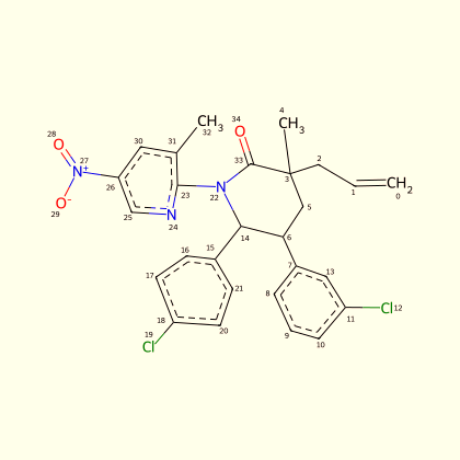 C=CCC1(C)CC(c2cccc(Cl)c2)C(c2ccc(Cl)cc2)N(c2ncc([N+](=O)[O-])cc2C)C1=O